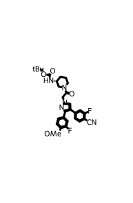 COc1ccc(-c2nn(CC(=O)N3CCC[C@@H](NC(=O)OC(C)(C)C)C3)cc2-c2ccc(C#N)c(F)c2)cc1F